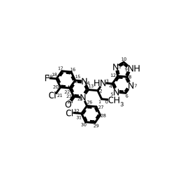 CCC(Nc1ncnc2[nH]cnc12)c1nc2ccc(F)c(Cl)c2c(=O)n1-c1ccccc1Cl